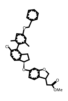 COC(=O)CC1COc2cc(O[C@@H]3CCc4c3ccc(Cl)c4-c3c(C)cc(OCc4ccccc4)cc3C)ccc21